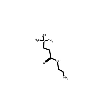 C[Si](C)(O)CCC(=O)NCCN